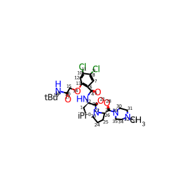 CC(C)C[C@@H](NC(=O)c1cc(Cl)c(Cl)cc1OCC(=O)NC(C)(C)C)C(=O)N1CCC[C@@H]1C(=O)N1CCN(C)CC1